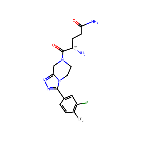 NC(=O)CC[C@H](N)C(=O)N1CCn2c(nnc2-c2ccc(C(F)(F)F)c(F)c2)C1